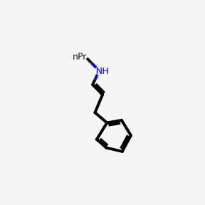 CCCN/C=C/Cc1ccccc1